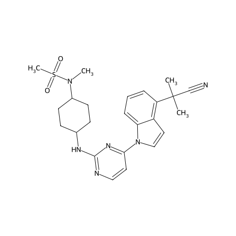 CN(C1CCC(Nc2nccc(-n3ccc4c(C(C)(C)C#N)cccc43)n2)CC1)S(C)(=O)=O